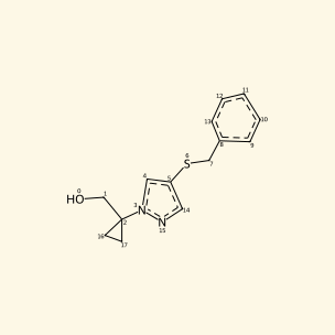 OCC1(n2cc(SCc3ccccc3)cn2)CC1